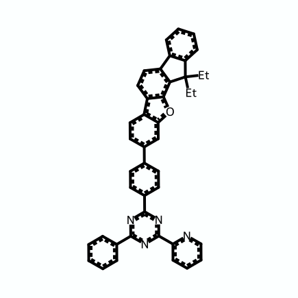 CCC1(CC)c2ccccc2-c2ccc3c(oc4cc(-c5ccc(-c6nc(-c7ccccc7)nc(-c7ccccn7)n6)cc5)ccc43)c21